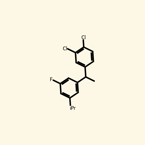 CC(C)c1cc(F)cc(C(C)c2ccc(Cl)c(Cl)c2)c1